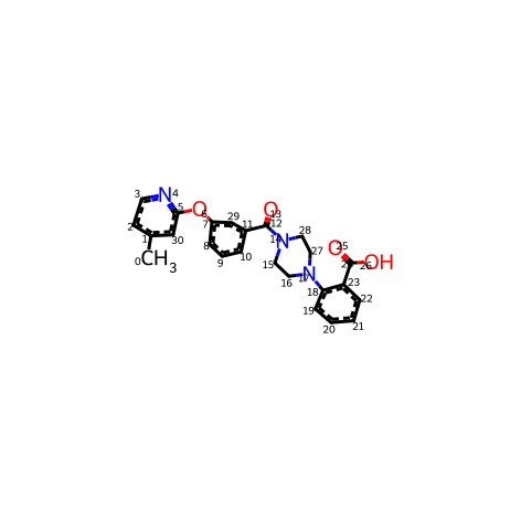 Cc1ccnc(Oc2cccc(C(=O)N3CCN(c4ccccc4C(=O)O)CC3)c2)c1